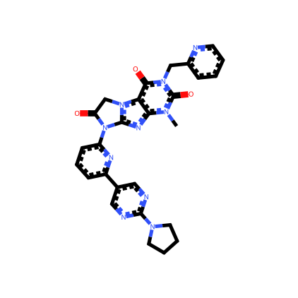 Cn1c(=O)n(Cc2ccccn2)c(=O)c2c1nc1n2CC(=O)N1c1cccc(-c2cnc(N3CCCC3)nc2)n1